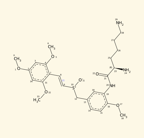 COc1cc(OC)c(/C=C/[S+]([O-])Cc2ccc(OC)c(NC(=O)[C@H](N)CCCCN)c2)c(OC)c1